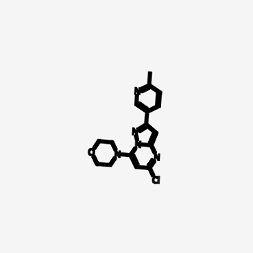 Cc1ccc(-c2cc3nc(Cl)cc(N4CCOCC4)n3n2)cn1